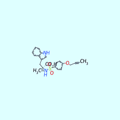 CC#CCOc1ccc(S(=O)(=O)N[C@@](C)(Cc2c[nH]c3ccccc23)C(=O)O)cc1